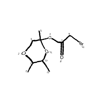 CC1OCC(C)(OC(=O)CBr)OC1C